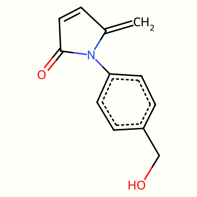 C=C1C=CC(=O)N1c1ccc(CO)cc1